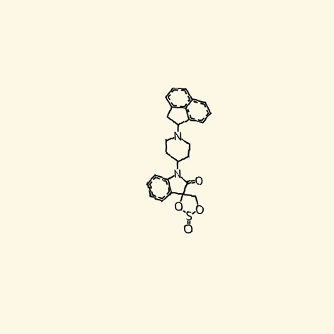 O=C1N(C2CCN(C3Cc4cccc5cccc3c45)CC2)c2ccccc2C12COS(=O)O2